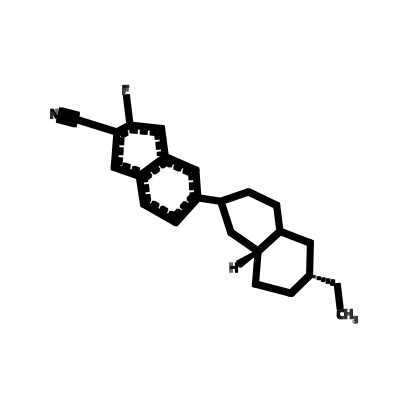 CC[C@@H]1CC[C@@H]2CC(c3ccc4cc(C#N)c(F)cc4c3)CCC2C1